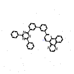 C=C(/C=C\c1c(C)c2ccccc2c2nccnc12)c1cccc(-c2cccc(-c3nc(-c4ccccc4)nc(-c4ccccc4)n3)c2)c1